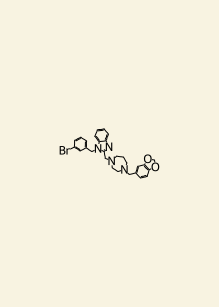 Brc1cccc(Cn2c(CN3CCCN(Cc4ccc5c(c4)OCO5)CC3)nc3ccccc32)c1